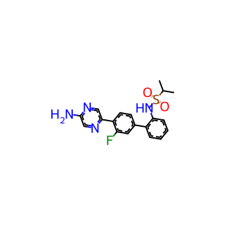 CC(C)S(=O)(=O)Nc1ccccc1-c1ccc(-c2cnc(N)cn2)c(F)c1